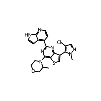 CC1COCCN1c1nc(-c2ccnc3[nH]ccc23)nc2c(-c3c(Cl)cnn3C)csc12